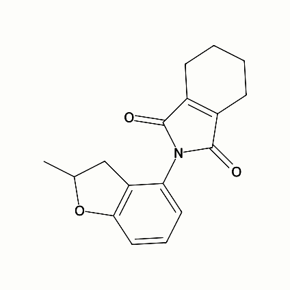 CC1Cc2c(cccc2N2C(=O)C3=C(CCCC3)C2=O)O1